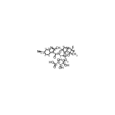 C[C@H]1CN(C(=O)c2c3ccc(C#N)cc3nn2C)Cc2cnc(C(C)(O)C(F)(F)F)n21.O=C(O)C(O)C(O)C(=O)O